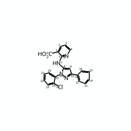 O=C(O)c1cccnc1Nc1cc(-c2ccccc2)nn1-c1ccccc1Cl